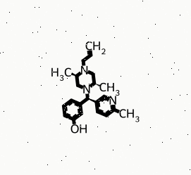 C=CCN1C[C@H](C)N([C@@H](c2ccc(C)nc2)c2cccc(O)c2)C[C@H]1C